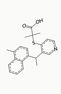 Cc1ccc(C(C)c2cnccc2SC(C)(C)C(=O)O)c2ccccc12